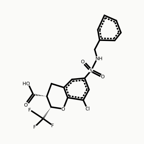 O=C(O)[C@@H]1Cc2cc(S(=O)(=O)NCc3ccccc3)cc(Cl)c2O[C@@H]1C(F)(F)F